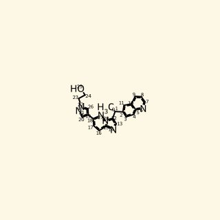 C[C@H](c1ccc2ncccc2c1)c1cnc2ccc(-c3cnn(CCO)c3)nn12